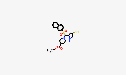 CCOC(=O)C1CCN(C(C2CC(S)CN2)S(=O)(=O)c2ccc3ccccc3c2)CC1